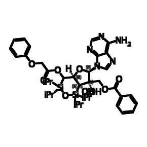 CC(C)[Si]1(C(C)C)O[Si](C(C)C)(C(C)C)[C@@]2(O)[C@H](O[C@@H](n3cnc4c(N)ncnc43)[C@@]2(O)COC(=O)c2ccccc2)C1OC(=O)COc1ccccc1